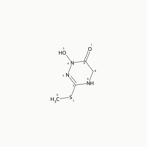 CSC1=NN(O)C(=O)CN1